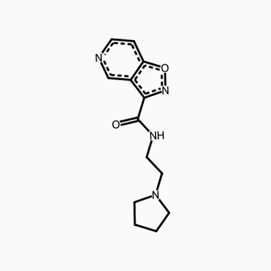 O=C(NCCN1CCCC1)c1noc2ccncc12